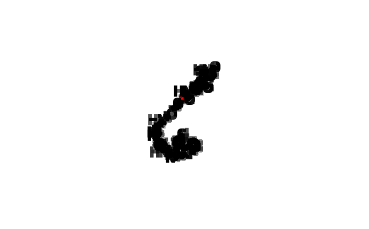 O=C1CCC(N2Cc3cc(NC(=O)CCOCCOCCNCCn4cc(-c5ccc(Nc6ncc7c(n6)-c6ccc(Cl)cc6C(c6c(F)cccc6F)=NC7)cc5)nn4)ccc3C2=O)C(=O)N1